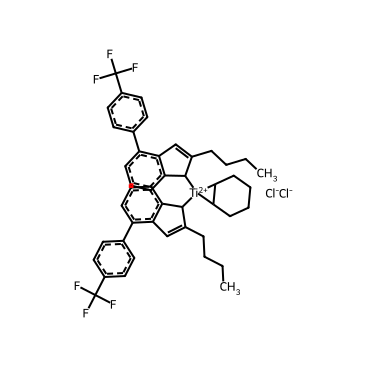 CCCCC1=Cc2c(-c3ccc(C(F)(F)F)cc3)cccc2[CH]1[Ti+2]1([CH]2C(CCCC)=Cc3c(-c4ccc(C(F)(F)F)cc4)cccc32)[CH]2CCCC[CH]21.[Cl-].[Cl-]